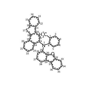 Cc1ccccc1N(c1cc2c3ccccc3sc2c2ccccc12)c1cccc2c1oc1ccccc12